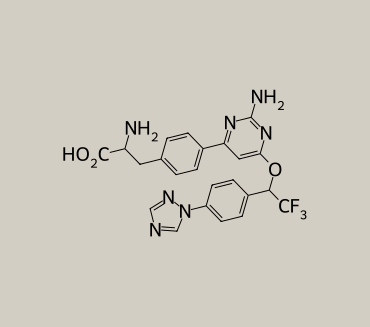 Nc1nc(OC(c2ccc(-n3cncn3)cc2)C(F)(F)F)cc(-c2ccc(CC(N)C(=O)O)cc2)n1